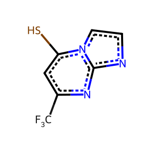 FC(F)(F)c1cc(S)n2ccnc2n1